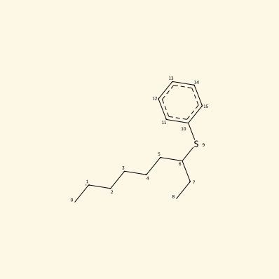 C[CH]CCCCC(CC)Sc1ccccc1